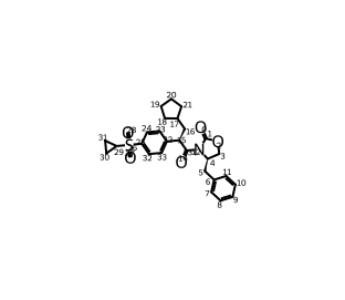 O=C1OC[C@@H](Cc2ccccc2)N1C(=O)[C@H](CC1CCCC1)c1ccc(S(=O)(=O)C2CC2)cc1